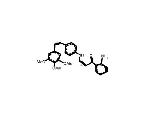 COc1cc(/C=C\c2ccc(N/C=C\C(=O)c3ccc#cc3N)cc2)cc(OC)c1OC